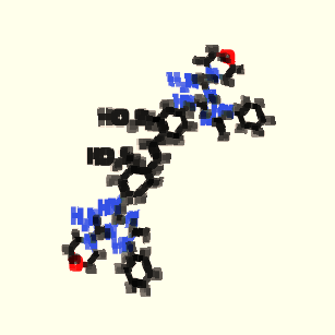 C=C(/N=C(\N=C(/N)N1CCOCC1)Nc1ccc(/C=C/c2ccc(NC(=N/C(=C)Nc3ccccc3)/N=C(\N)N3CCOCC3)cc2S(=O)(=O)O)c(S(=O)(=O)O)c1)Nc1ccccc1